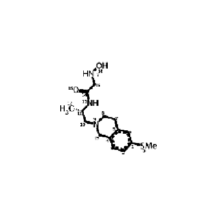 CSc1ccc2c(c1)CCN(C[C@H](C)NC(=O)CNO)C2